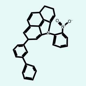 O=[N+]([O-])c1ccccc1-n1c2c3c4c1=CCCC4C=CC3=CC(c1cccc(-c3ccccc3)c1)C=2